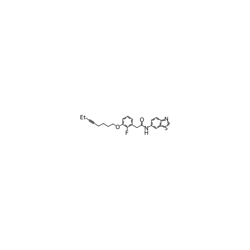 CCC#CCCCCOc1cccc(CC(=O)Nc2ccc3ncsc3c2)c1F